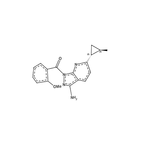 COc1ccccc1C(=O)n1nc(N)c2ccc([C@@H]3C[C@H]3C)nc21